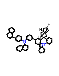 c1cc(-c2cc3c4c(c2)c2ccccc2n4-c2ccccc2C32CC3C[C@H]4C[C@@H]3C[C@@H]2C4)cc(N(c2ccc(-c3cccc4ccccc34)cc2)c2cccc3ccccc23)c1